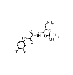 CC1(C)OC(CN)C(CNC(=O)C(=O)Nc2ccc(Cl)c(F)c2)O1